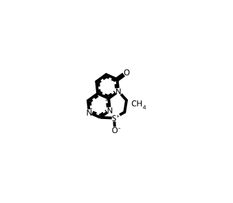 C.O=c1ccc2cnc3nc2n1CC[S+]3[O-]